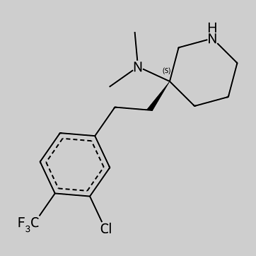 CN(C)[C@@]1(CCc2ccc(C(F)(F)F)c(Cl)c2)CCCNC1